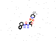 Cc1oc(S(=O)(=O)N2CCC(C(F)(F)F)CC2)cc1NC(=O)N[C@@H]1CCCc2ccccc21